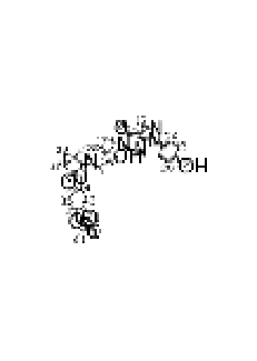 CC1(C(=O)N2CCC(O)(Cn3cnc4c(cnn4-c4ccc(O)cc4)c3=O)CC2)C[C@]1(C)COC1CCC(OS(C)(=O)=O)CC1